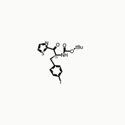 CC(C)(C)OC(=O)N[C@@H](Cc1ccc(I)cc1)C(=O)c1nccs1